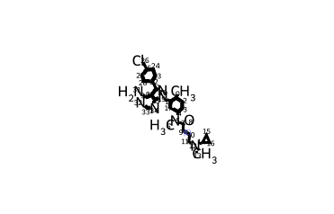 Cc1ccc(N(C)C(=O)/C=C/CN(C)C2CC2)cc1-n1nc(-c2ccc(Cl)cc2)c2c(N)ncnc21